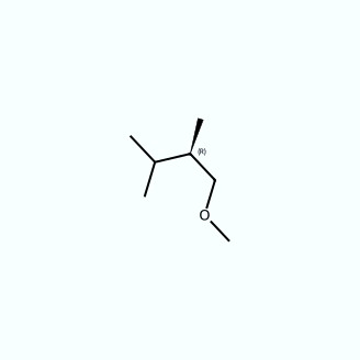 COC[C@H](C)C(C)C